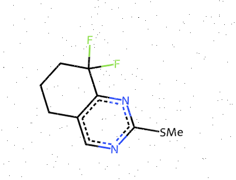 CSc1ncc2c(n1)C(F)(F)CCC2